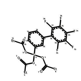 CCC(=O)O[Si](OC(=O)CC)(OC(=O)CC)c1cccc(-c2c(F)c(F)c(F)c(F)c2F)c1